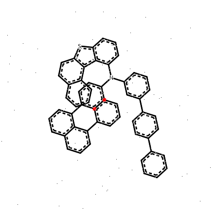 c1ccc(-c2ccc(-c3cccc(N(c4ccc(-c5cccc6cccc(-c7ccccc7)c56)cc4)c4cccc5sc6ccc7ccccc7c6c45)c3)cc2)cc1